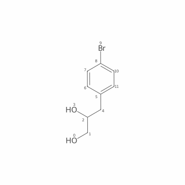 OCC(O)Cc1ccc(Br)cc1